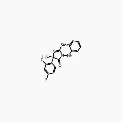 CSC1=NC(C)(c2ccc(F)cc2F)C(=O)N1Nc1ccccc1